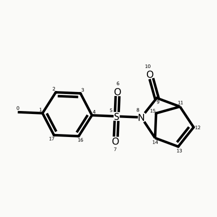 Cc1ccc(S(=O)(=O)N2C(=O)C3C=CC2C3)cc1